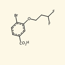 O=C(O)c1ccc(Br)c(OCCC(F)F)c1